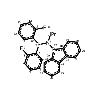 CC(C)N(P(c1ccccc1F)c1ccccc1F)p1c2ccccc2c2ccccc21